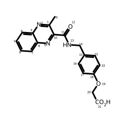 Cc1nc2ccccc2nc1C(=O)NCc1ccc(OCC(=O)O)cc1